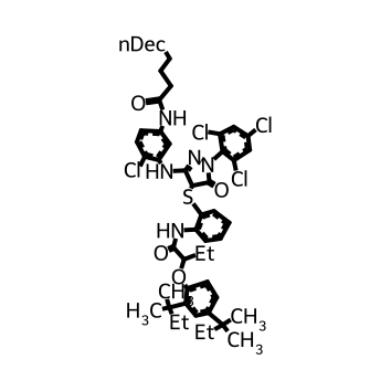 CCCCCCCCCCCCCC(=O)Nc1ccc(Cl)c(NC2=NN(c3c(Cl)cc(Cl)cc3Cl)C(=O)C2Sc2ccccc2NC(=O)C(CC)Oc2ccc(C(C)(C)CC)cc2C(C)(C)CC)c1